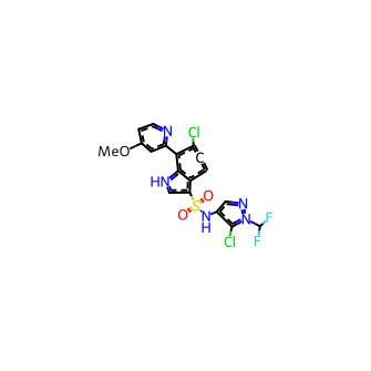 COc1ccnc(-c2c(Cl)ccc3c(S(=O)(=O)Nc4cnn(C(F)F)c4Cl)c[nH]c23)c1